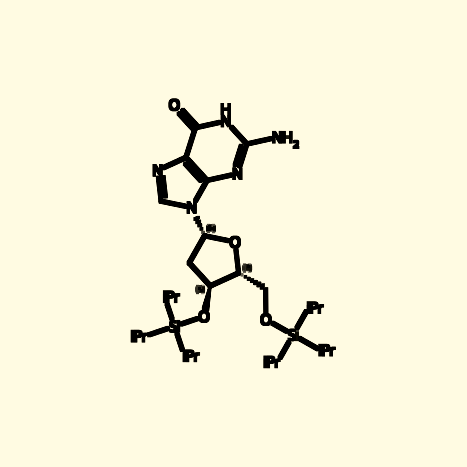 CC(C)[Si](OC[C@H]1O[C@@H](n2cnc3c(=O)[nH]c(N)nc32)C[C@@H]1O[Si](C(C)C)(C(C)C)C(C)C)(C(C)C)C(C)C